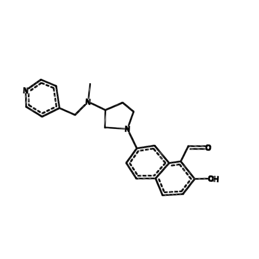 CN(Cc1ccncc1)C1CCN(c2ccc3ccc(O)c(C=O)c3c2)C1